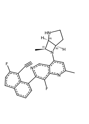 C#Cc1c(F)ccc2cccc(-c3ncc4c(N5[C@@H]6CCN[C@@H]6[C@@H]5C)cc(C)nc4c3F)c12